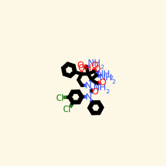 NC(=O)C1(C(N)=O)N(C(=O)N(c2ccccc2)c2ccc(Cl)c(Cl)c2)CCC(O)(c2ccccc2)C1(C(N)=O)C(N)=O